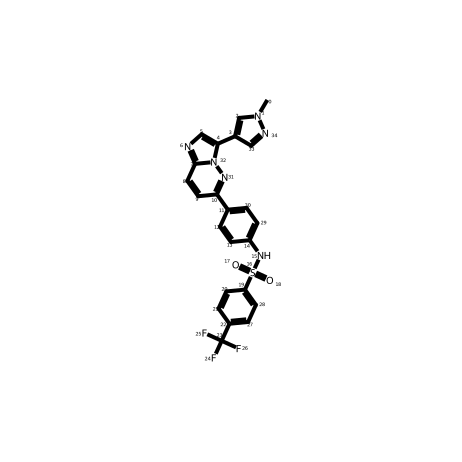 Cn1cc(-c2cnc3ccc(-c4ccc(NS(=O)(=O)c5ccc(C(F)(F)F)cc5)cc4)nn23)cn1